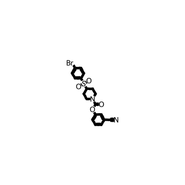 N#Cc1cccc(OC(=O)N2CCC(S(=O)(=O)c3ccc(Br)cc3)CC2)c1